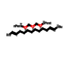 CC/C=C/CCCCCCCC/C=C/CCCC.CCCCCOCOCOCCCCC